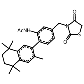 CC(=O)Nc1cc(CN2C(=O)CSC2=O)ccc1-c1cc2c(cc1C)C(C)(C)CCC2(C)C